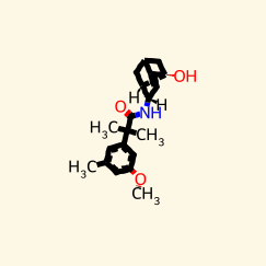 COc1cc(C)cc(C(C)(C)C(=O)N[C@H]2C=C3C4C[C@H]2C[C@]3(O)C4)c1